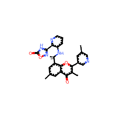 Cc1cncc(-c2oc3c([C@@H](C)Nc4cccnc4-c4noc(=O)[nH]4)cc(C)cc3c(=O)c2C)c1